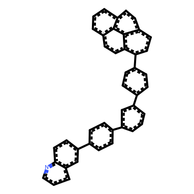 c1cc(-c2ccc(-c3ccc4ncccc4c3)cc2)cc(-c2ccc(-c3ccc4ccc5cccc6ccc3c4c56)cc2)c1